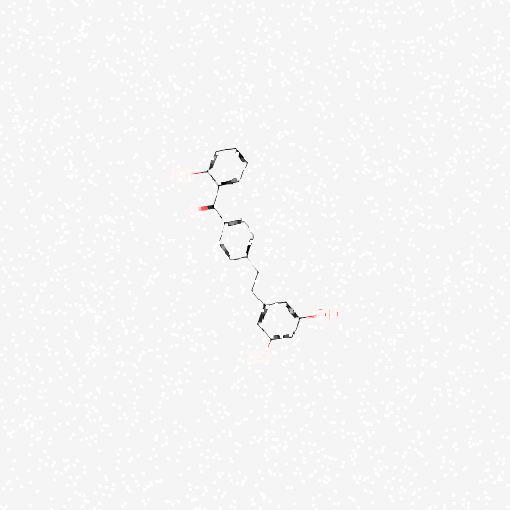 O=C(c1ccc(CCc2cc(O)cc(O)c2)cc1)c1ccccc1O